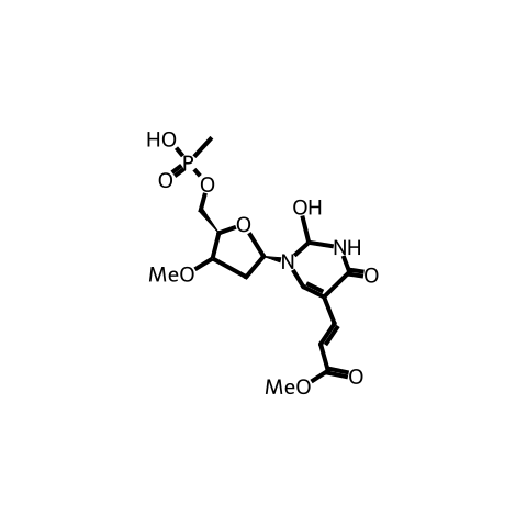 COC(=O)/C=C/C1=CN([C@H]2CC(OC)[C@@H](COP(C)(=O)O)O2)C(O)NC1=O